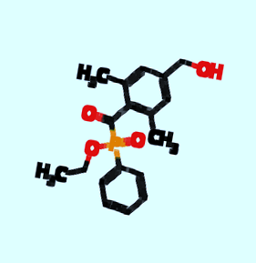 CCOP(=O)(C(=O)c1c(C)cc(CO)cc1C)c1ccccc1